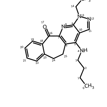 CCCCNc1c2c(nc3c1cnn3CC)C(=O)c1ccccc1CC2